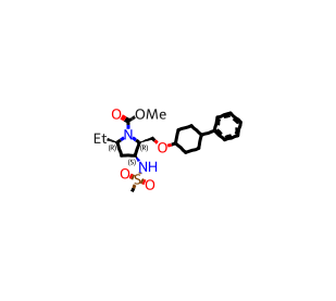 CC[C@@H]1C[C@H](NS(C)(=O)=O)[C@H](COC2CCC(c3ccccc3)CC2)N1C(=O)OC